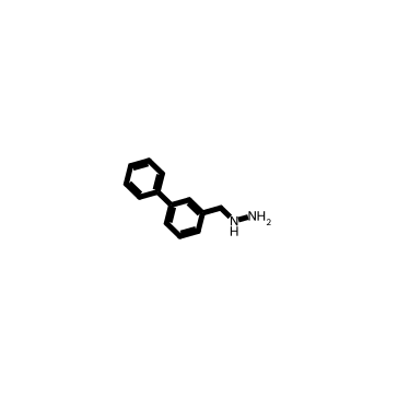 NNCc1cccc(-c2ccccc2)c1